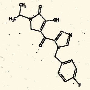 CC(C)N1CC(C(=O)c2cncn2Cc2ccc(F)cc2)=C(O)C1=O